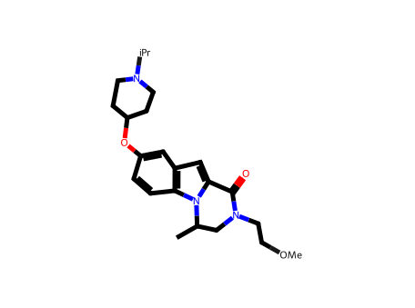 COCCN1CC(C)n2c(cc3cc(OC4CCN(C(C)C)CC4)ccc32)C1=O